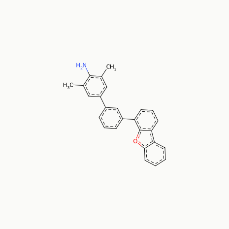 Cc1cc(-c2cccc(-c3cccc4c3oc3ccccc34)c2)cc(C)c1N